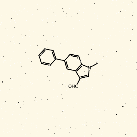 O=Cc1cn(F)c2ccc(-c3ccccc3)cc12